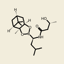 CC(C)C[C@H](NC(=O)C[C@@H](C)O)B1O[C@@H]2C[C@@H]3C[C@@H](C3(C)C)[C@]2(C)O1